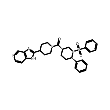 O=C([C@@H]1CC[C@H](c2ccccc2)N(S(=O)(=O)c2ccccc2)C1)N1CCC(c2nc3cnccc3[nH]2)CC1